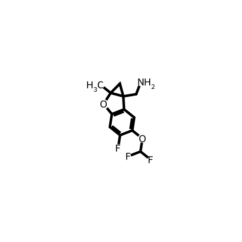 CC12CC1(CN)c1cc(OC(F)F)c(F)cc1O2